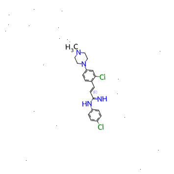 CN1CCN(c2ccc(/C=C/C(=N)Nc3ccc(Cl)cc3)c(Cl)c2)CC1